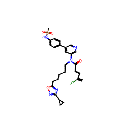 C=C(F)CCC(=O)N(CCCCCc1nc(C2CC2)no1)c1cncc(-c2ccc(NS(C)(=O)=O)cc2)c1